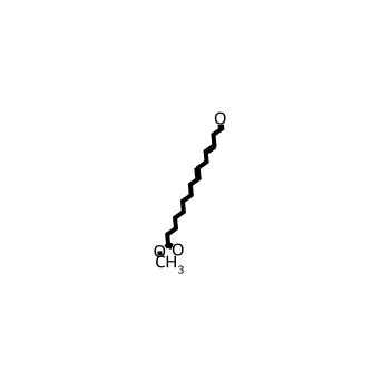 COC(=O)CCCCCCCC=CCC=CCC=O